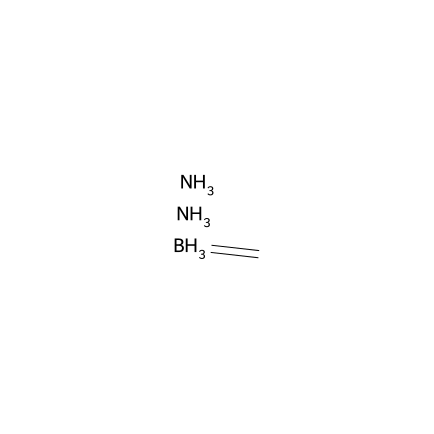 B.C=C.N.N